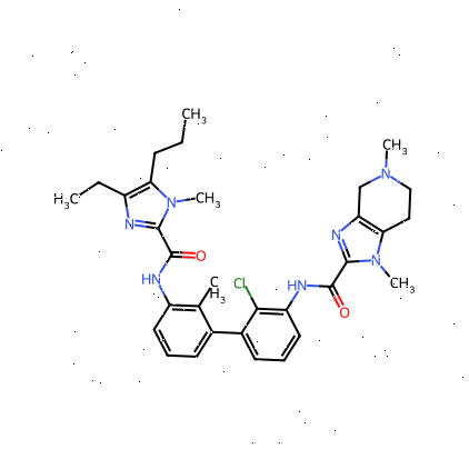 CCCc1c(CC)nc(C(=O)Nc2cccc(-c3cccc(NC(=O)c4nc5c(n4C)CCN(C)C5)c3Cl)c2C)n1C